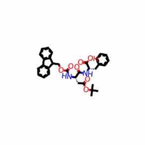 CC(C)(C)OC(=O)C[C@H](NC(=O)OCC1c2ccccc2-c2ccccc21)C(=O)N[C@@H](Cc1ccccc1)C(=O)O